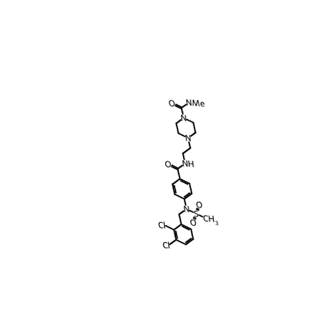 CNC(=O)N1CCN(CCNC(=O)c2ccc(N(Cc3cccc(Cl)c3Cl)S(C)(=O)=O)cc2)CC1